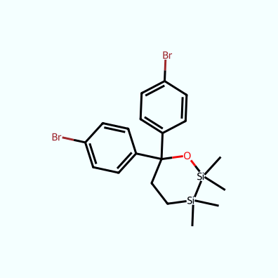 C[Si]1(C)CCC(c2ccc(Br)cc2)(c2ccc(Br)cc2)O[Si]1(C)C